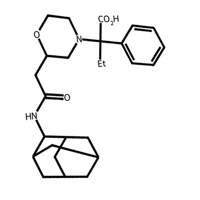 CCC(C(=O)O)(c1ccccc1)N1CCOC(CC(=O)NC2C3CC4CC(C3)CC2C4)C1